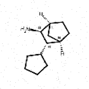 N[C@H]1[C@H]2CC[C@H](C2)[C@@H]1C1CCCC1